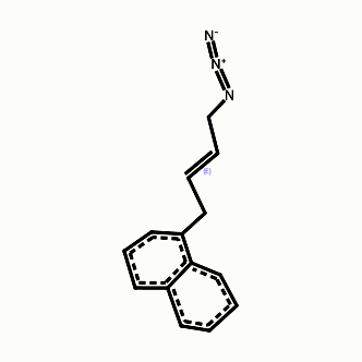 [N-]=[N+]=NC/C=C/Cc1cccc2ccccc12